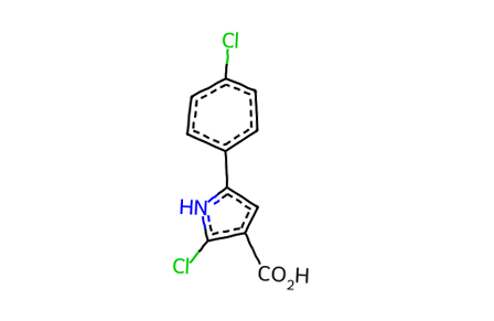 O=C(O)c1cc(-c2ccc(Cl)cc2)[nH]c1Cl